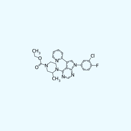 CCOC(=O)N1CCN(c2ncnc3c2c(-c2ccccn2)cn3-c2ccc(F)c(Cl)c2)C(C)C1